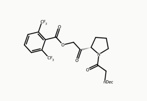 CCCCCCCCCCCC(=O)N1CCC[C@H]1C(=O)COC(=O)c1c(C(F)(F)F)cccc1C(F)(F)F